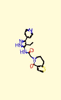 CCc1c(-c2ccncc2)n[nH]c1NC(=O)CN1CCCc2sccc2C1=O